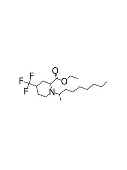 CCCCCCCC(C)N1CCC(C(F)(F)F)CC1C(=O)OCC